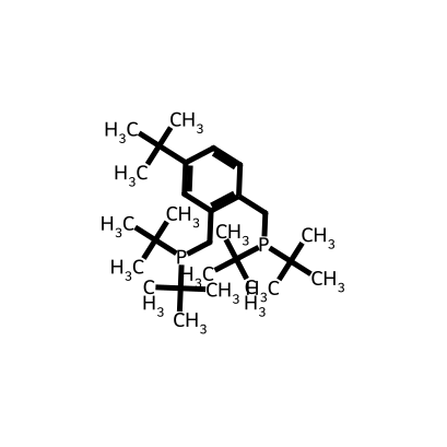 CC(C)(C)c1ccc(CP(C(C)(C)C)C(C)(C)C)c(CP(C(C)(C)C)C(C)(C)C)c1